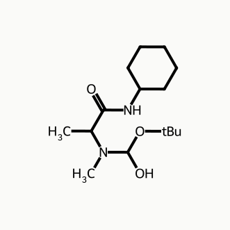 CC(C(=O)NC1CCCCC1)N(C)C(O)OC(C)(C)C